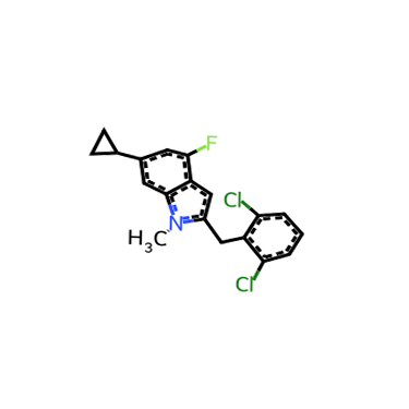 Cn1c(Cc2c(Cl)cccc2Cl)cc2c(F)cc(C3CC3)cc21